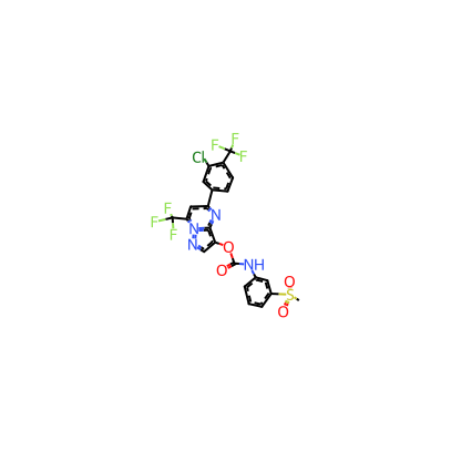 CS(=O)(=O)c1cccc(NC(=O)Oc2cnn3c(C(F)(F)F)cc(-c4ccc(C(F)(F)F)c(Cl)c4)nc23)c1